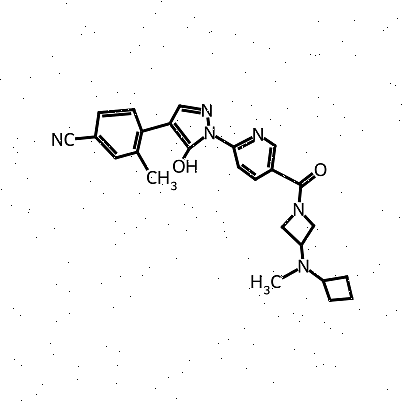 Cc1cc(C#N)ccc1-c1cnn(-c2ccc(C(=O)N3CC(N(C)C4CCC4)C3)cn2)c1O